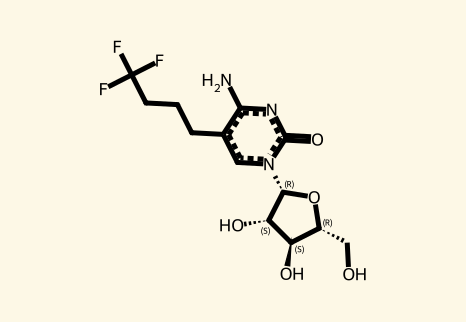 Nc1nc(=O)n([C@@H]2O[C@H](CO)[C@@H](O)[C@@H]2O)cc1CCCC(F)(F)F